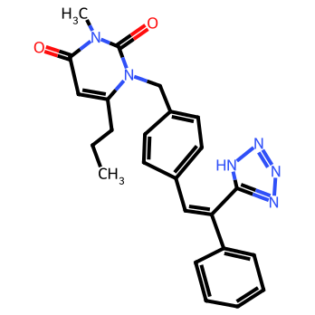 CCCc1cc(=O)n(C)c(=O)n1Cc1ccc(C=C(c2ccccc2)c2nnn[nH]2)cc1